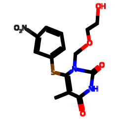 Cc1c(Sc2cccc([N+](=O)[O-])c2)n(COCCO)c(=O)[nH]c1=O